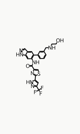 O=C(Nc1cc2[nH]ncc2cc1-c1cccc(CNCCO)c1)c1csc(-c2cc(C(F)(F)F)n[nH]2)n1